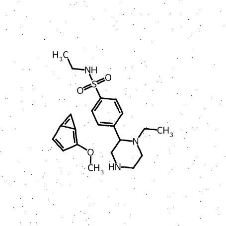 CCNS(=O)(=O)c1ccc(C2CNCCN2CC)cc1.COc1ccc2cc1-2